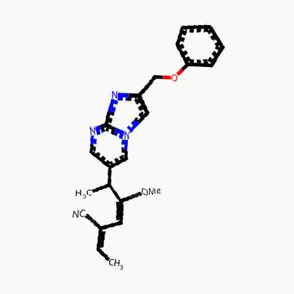 C/C=C(C#N)\C=C(\OC)C(C)c1cnc2nc(COc3ccccc3)cn2c1